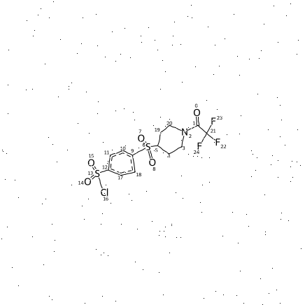 O=C(N1CCC(S(=O)(=O)c2ccc(S(=O)(=O)Cl)cc2)CC1)C(F)(F)F